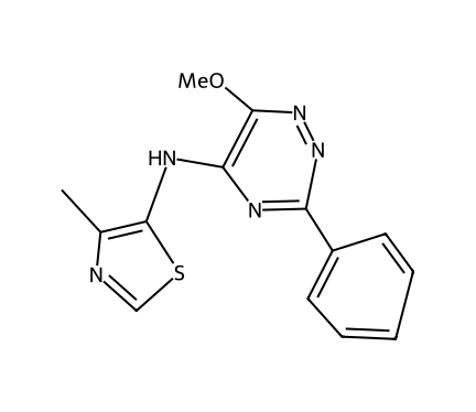 COc1nnc(-c2ccccc2)nc1Nc1scnc1C